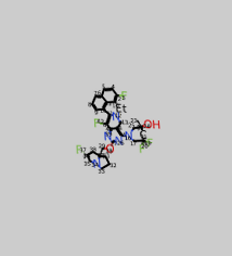 CCc1c(F)ccc2cccc(-c3ncc4c(N5CC(F)(F)C[C@@](C)(O)C5)nc(OC[C@@]56CCCN5C[C@H](F)C6)nc4c3F)c12